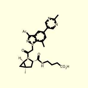 CC(=O)c1nn(CC(=O)N2[C@H](C(=O)NCCCC(=O)O)C[C@@]3(C)C[C@@H]23)c2c(C)cc(-c3cnc(C)nc3)cc12